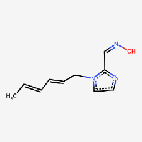 C/C=C/C=C/Cn1ccnc1/C=N\O